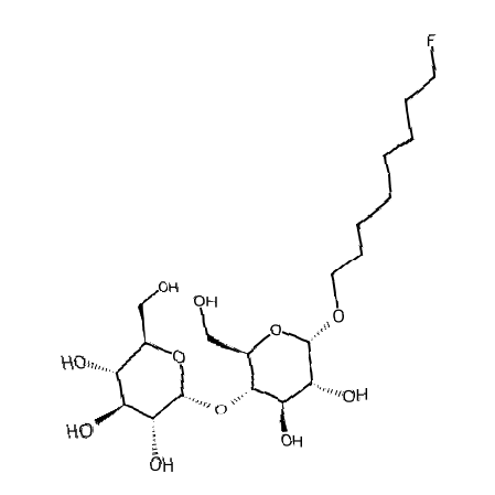 OC[C@H]1O[C@H](O[C@H]2[C@H](O)[C@@H](O)[C@@H](OCCCCCCCCF)O[C@@H]2CO)[C@H](O)[C@@H](O)[C@@H]1O